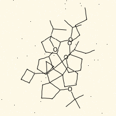 CCCCOC1CCCC1(C1CCCC1OC(C)C)C1(C2(C3(C4([C]5CCC5)CC4)CCCC3OC(C)(C)C)CCCC2OC(C)CC)CCCC1OCC(C)C